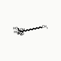 CCCCCCCCCCCCCC(=O)C(O)(C(O)CO)P(=O)=O